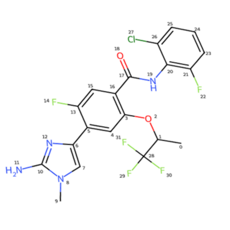 CC(Oc1cc(-c2cn(C)c(N)n2)c(F)cc1C(=O)Nc1c(F)cccc1Cl)C(F)(F)F